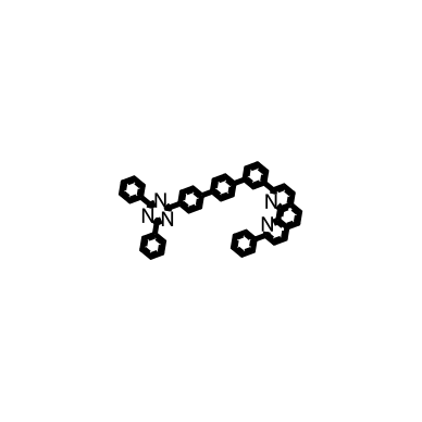 c1ccc(-c2ccc3ccc4ccc(-c5cccc(-c6ccc(-c7ccc(-c8nc(-c9ccccc9)nc(-c9ccccc9)n8)cc7)cc6)c5)nc4c3n2)cc1